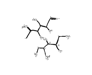 CC(O)C(O)C(O)C(O)C=O.OCC(O)C(O)C(O)CO